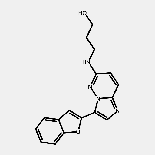 OCCCNc1ccc2ncc(-c3cc4ccccc4o3)n2n1